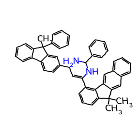 CC1(C)c2cc3ccccc3cc2-c2c(/C(=C/Cc3ccc4c(c3)C(C)(c3ccccc3)c3ccccc3-4)NC(N)c3ccccc3)cccc21